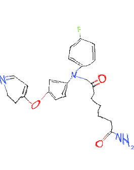 NC(=O)CCCCC(=O)N(c1ccc(F)cc1)c1ccc(OC2=CC=NCC2)cc1